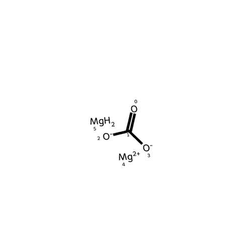 O=C([O-])[O-].[Mg+2].[MgH2]